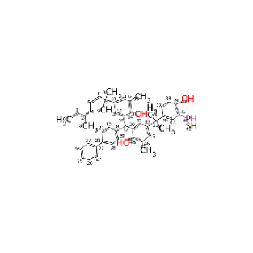 C=C/C(C)=C\C=C/C(C)(C)c1cc(C)c(O)c(C(c2ccc(-c3ccccc3)cc2)c2cc(C(C)(C)c3ccc(O)c(PS)c3)cc(C)c2O)c1